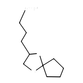 CCCCCCCCCCC1COC2(CCCC2)O1